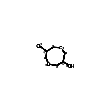 OC1COCC(Cl)COC1